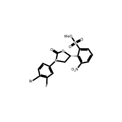 COS(=O)(=O)c1cccc([N+](=O)[O-])c1[C@@H]1CN(c2ccc(Br)c(F)c2)C(=O)O1